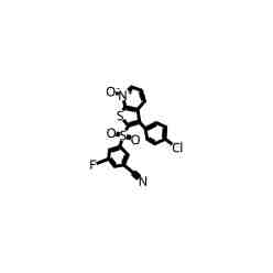 N#Cc1cc(F)cc(S(=O)(=O)c2sc3c(ccc[n+]3[O-])c2-c2ccc(Cl)cc2)c1